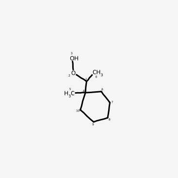 CC(OO)C1(C)CCCCC1